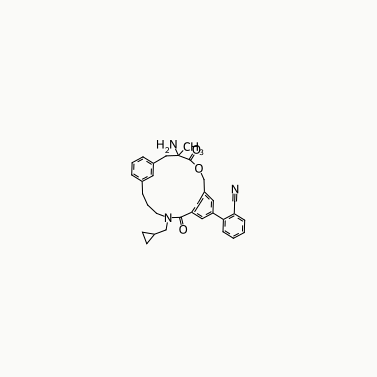 CC1(N)Cc2cccc(c2)CCCN(CC2CC2)C(=O)c2cc(cc(-c3ccccc3C#N)c2)COC1=O